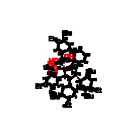 CCc1cc(C(C)(C)C)c(C2=C(c3cc(C(C)(C)C)c(CC)cc3C(C)(C)C)C(P(O)O)(P(O)O)C3=C(c4cccc(-c5cc(C(C)(C)C)c(CC)cc5C(C)(C)C)c43)[C@@H]2c2cc(C(C)(C)C)c(CC)cc2C(C)(C)C)cc1C(C)(C)C